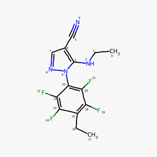 CCNc1c(C#N)cnn1-c1c(F)c(F)c(CC)c(F)c1F